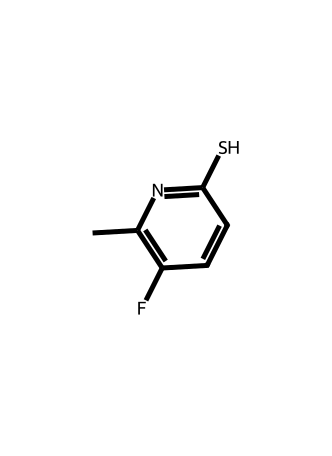 Cc1nc(S)ccc1F